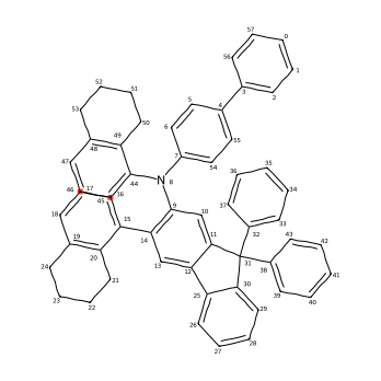 c1ccc(-c2ccc(N(c3cc4c(cc3-c3cccc5c3CCCC5)-c3ccccc3C4(c3ccccc3)c3ccccc3)c3cccc4c3CCCC4)cc2)cc1